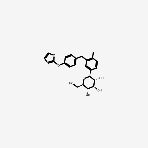 Cc1ccc([C@@H]2O[C@H](CO)[C@@H](O)[C@H](O)[C@H]2O)cc1Cc1ccc(Oc2ncco2)cc1